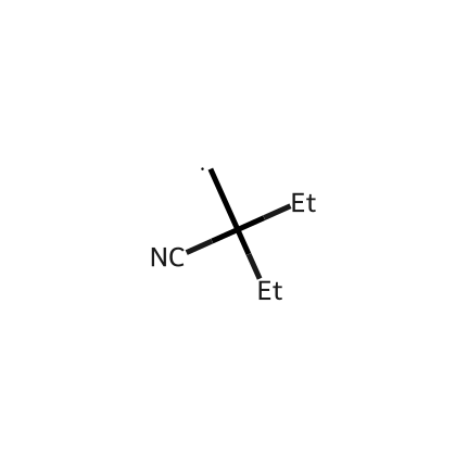 [CH2]C(C#N)(CC)CC